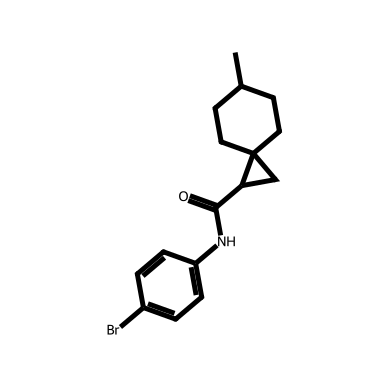 CC1CCC2(CC1)CC2C(=O)Nc1ccc(Br)cc1